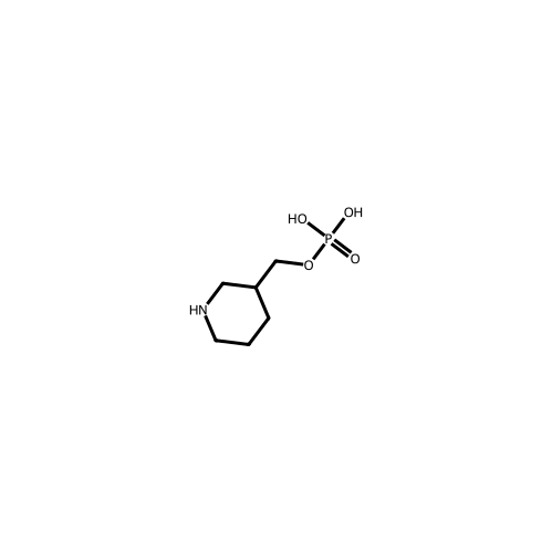 O=P(O)(O)OCC1CCCNC1